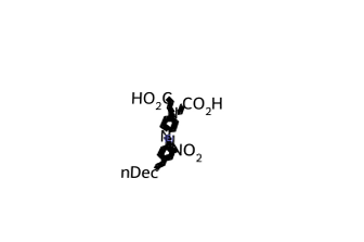 CCCCCCCCCCCCc1ccc(/N=N/c2ccc(N(CCC(=O)O)CCC(=O)O)cc2)c([N+](=O)[O-])c1